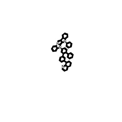 c1ccc(-c2ccc(-n3c4ccccc4n4cc5c6ccccc6n(-c6ccccc6)c5c34)cc2-c2cccc(-c3cccc4cccnc34)c2)cc1